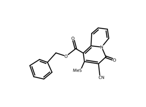 CSc1c(C#N)c(=O)n2ccccc2c1C(=O)OCc1ccccc1